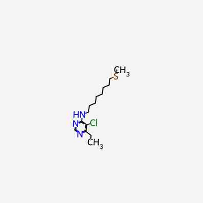 CCc1ncnc(NCCCCCCCCSC)c1Cl